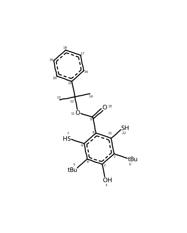 CC(C)(C)c1c(O)c(C(C)(C)C)c(S)c(C(=O)OC(C)(C)c2ccccc2)c1S